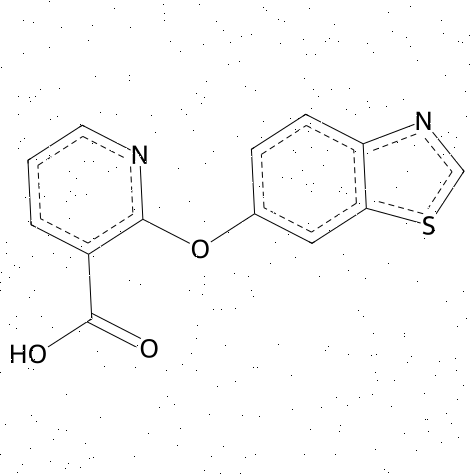 O=C(O)c1cccnc1Oc1ccc2ncsc2c1